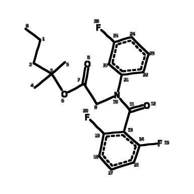 CCCC(C)(C)OC(=O)CN(C(=O)c1c(F)cccc1F)c1cccc(F)c1